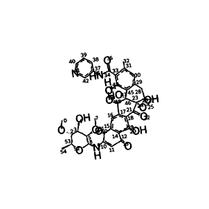 CO[C@@H]1[C@@H](O)[C@@H](OC)[C@@H](NC2=CC(=O)c3c(cc4c(c3O)C(=O)[C@]3(OC)[C@H](O)Cc5cc(C)c(C(=O)Nc6cccnc6)c(O)c5[C@]3(O)C4=O)C2=O)O[C@H]1C